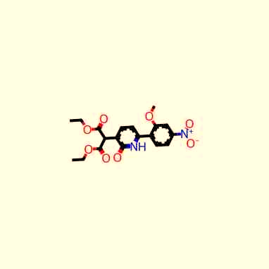 CCOC(=O)C(C(=O)OCC)c1ccc(-c2ccc([N+](=O)[O-])cc2OC)[nH]c1=O